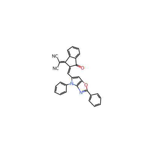 N#CC(C#N)=C1/C(=C/c2cc3oc(-c4ccccc4)nc3n2-c2ccccc2)C(=O)c2ccccc21